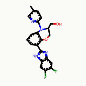 Cc1ccc(N2c3cccc(-c4nc5cc(F)c(F)cc5[nH]4)c3OCC2CO)nc1